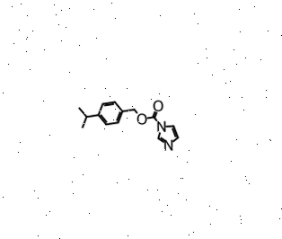 CC(C)c1ccc(COC(=O)n2ccnc2)cc1